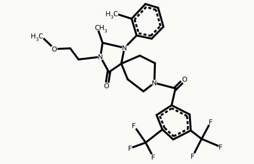 COCCN1C(=O)C2(CCN(C(=O)c3cc(C(F)(F)F)cc(C(F)(F)F)c3)CC2)N(c2ccccc2C)C1C